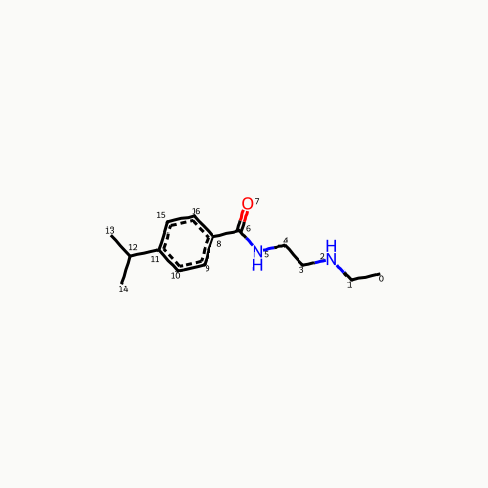 CCNCCNC(=O)c1ccc(C(C)C)cc1